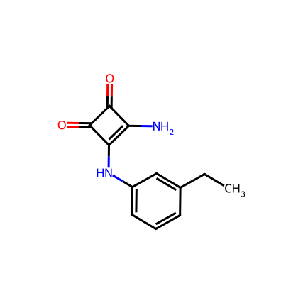 CCc1cccc(Nc2c(N)c(=O)c2=O)c1